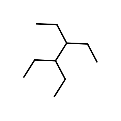 CCC(CC)C(CC)CC